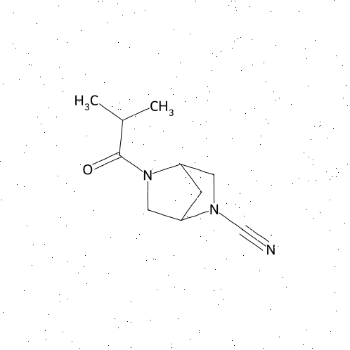 CC(C)C(=O)N1CC2CC1CN2C#N